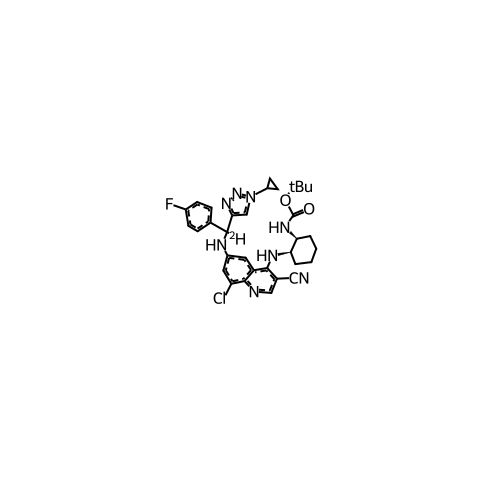 [2H]C(Nc1cc(Cl)c2ncc(C#N)c(N[C@@H]3CCCC[C@@H]3NC(=O)OC(C)(C)C)c2c1)(c1ccc(F)cc1)c1cn(C2CC2)nn1